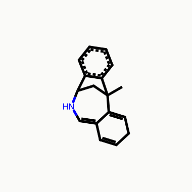 CC12CC(NC=C3C=CCC=C31)c1ccccc12